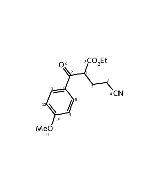 CCOC(=O)C(CCC#N)C(=O)c1ccc(OC)cc1